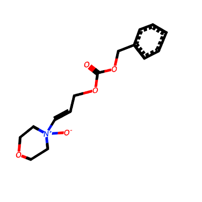 O=C(OCC=C[N+]1([O-])CCOCC1)OCc1ccccc1